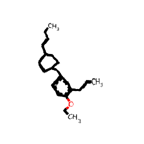 CCC=CC1CCC(c2ccc(OCC)c(CCC)c2)CC1